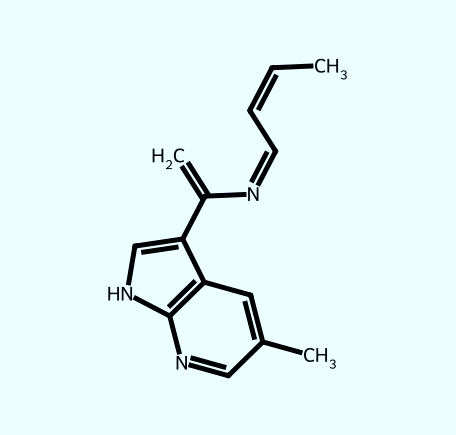 C=C(/N=C\C=C/C)c1c[nH]c2ncc(C)cc12